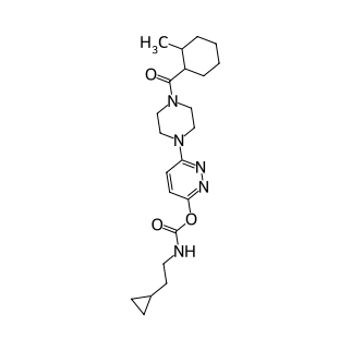 CC1CCCCC1C(=O)N1CCN(c2ccc(OC(=O)NCCC3CC3)nn2)CC1